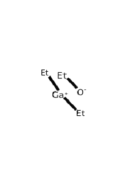 CC[O-].C[CH2][Ga+][CH2]C